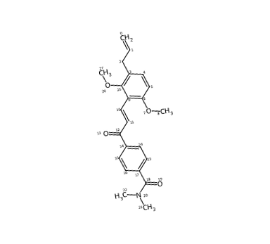 C=CCc1ccc(OC)c(/C=C/C(=O)c2ccc(C(=O)N(C)C)cc2)c1OC